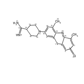 Cc1cc(=O)cc2sc3cc(N4CCC(C(=N)N)CC4)cc(C)c3nc1-2